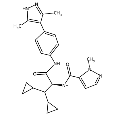 Cc1n[nH]c(C)c1-c1ccc(NC(=O)[C@@H](NC(=O)c2ccnn2C)C(C2CC2)C2CC2)cc1